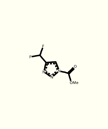 COC(=O)n1cc(C(F)F)nn1